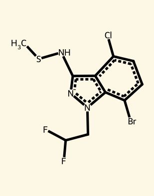 CSNc1nn(CC(F)F)c2c(Br)ccc(Cl)c12